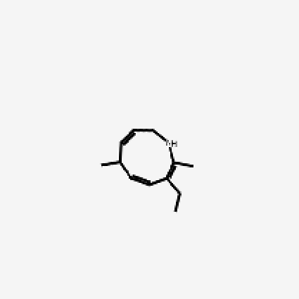 CC/C1=C(\C)NC/C=C\C(C)C=C1